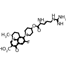 C[C@@H]1CCc2c(N3CCC(OC(=O)[C@@H](N)CCCNC(=N)N)CC3)c(F)cc3c(=O)c(C(=O)O)cn1c23